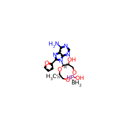 B[PH]1(O)OC[C@H](C)O[C@@H](n2c(-c3ccco3)nc3c(N)ncnc32)[C@@H](O)CO1